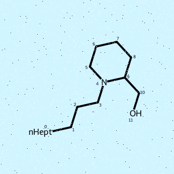 CCCCCCCCCCN1CCCCC1CO